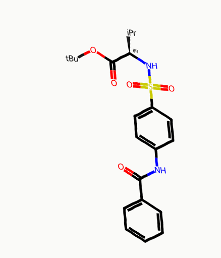 CC(C)[C@@H](NS(=O)(=O)c1ccc(NC(=O)c2ccccc2)cc1)C(=O)OC(C)(C)C